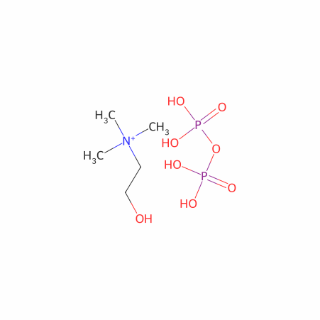 C[N+](C)(C)CCO.O=P(O)(O)OP(=O)(O)O